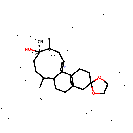 CC1CC[C@](O)(C#N)[C@@H](C)C/C=C2/C3=C(CCC21)CC1(CC3)OCCO1